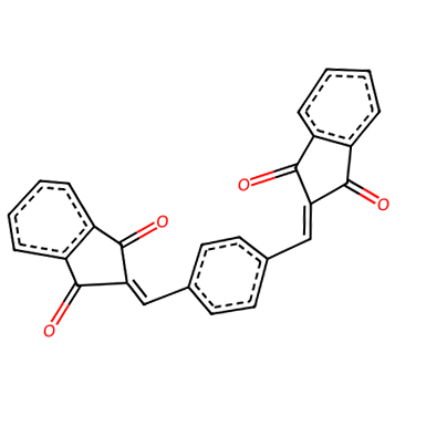 O=C1C(=Cc2ccc(C=C3C(=O)c4ccccc4C3=O)cc2)C(=O)c2ccccc21